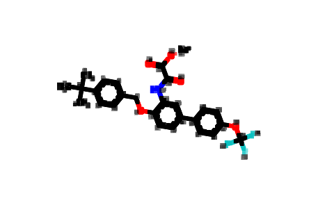 CC(C)(C)c1ccc(COc2ccc(-c3ccc(OC(F)(F)F)cc3)cc2NC(=O)C(=O)[O-])cc1.[Na+]